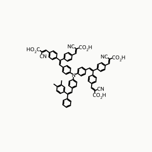 Cc1ccc(/C(=C\c2ccc(N(c3ccc(C=C(c4ccc(/C=C(\C#N)C(=O)O)cc4)c4ccc(/C=C(\C#N)C(=O)O)cc4)cc3)c3ccc(C=C(c4ccc(/C=C(\C#N)C(=O)O)cc4)c4ccc(/C=C(\C#N)C(=O)O)cc4)cc3)cc2)c2ccccc2)cc1C